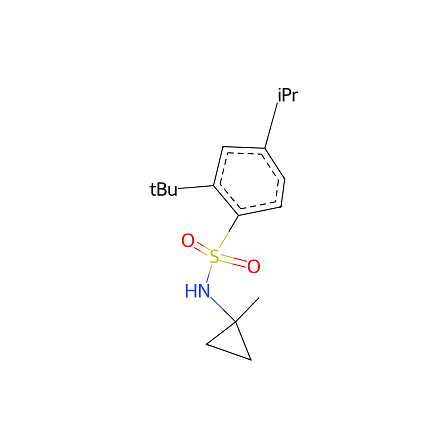 CC(C)c1ccc(S(=O)(=O)NC2(C)CC2)c(C(C)(C)C)c1